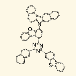 c1ccc2cc(-c3nc(-c4ccc5c(c4)sc4ccccc45)nc(-c4ccc(-n5c6cc7ccccc7cc6c6c7ccccc7ccc65)c5oc6ccccc6c45)n3)ccc2c1